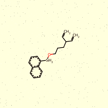 C=CC(C=C)CCCO[SiH2]c1cccc2ccccc12